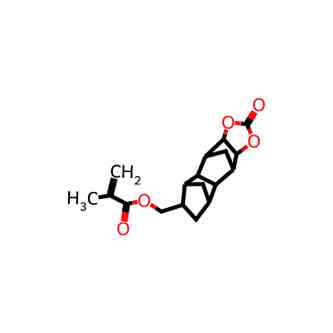 C=C(C)C(=O)OCC1CC2CC1C1C3CC(C4OC(=O)OC34)C21